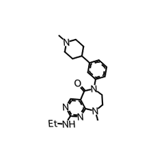 CCNc1ncc2c(n1)N(C)CCN(c1cccc(C3CCN(C)CC3)c1)C2=O